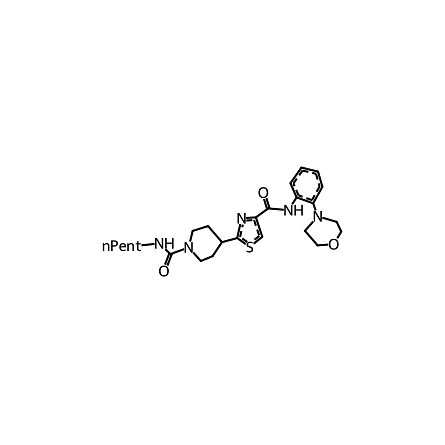 CCCCCNC(=O)N1CCC(c2nc(C(=O)Nc3ccccc3N3CCOCC3)cs2)CC1